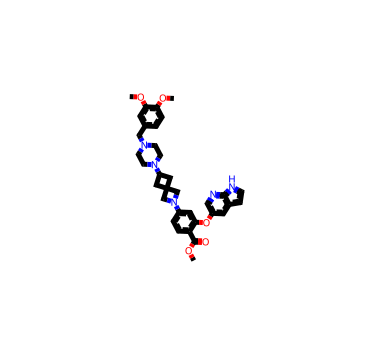 COC(=O)c1ccc(N2CC3(CC(N4CCN(Cc5ccc(OC)c(OC)c5)CC4)C3)C2)cc1Oc1cnc2[nH]ccc2c1